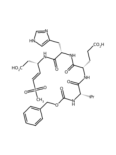 CC(C)[C@H](NC(=O)OCc1ccccc1)C(=O)N[C@@H](CCC(=O)O)C(=O)N[C@@H](Cc1c[nH]cn1)C(=O)N[C@H](/C=C/S(C)(=O)=O)CC(=O)O